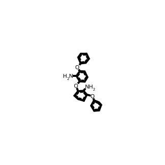 Nc1c(Oc2ccccc2)cccc1Oc1cccc(Oc2ccccc2)c1N